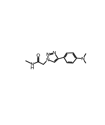 CNC(=O)Cn1cc(-c2ccc(N(C)C)cc2)nn1